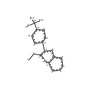 CCc1nc2ccccc2cc1-c1ccc(C(F)(F)F)cc1